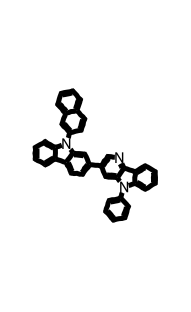 c1ccc(-n2c3ccccc3c3ncc(-c4ccc5c6ccccc6n(-c6ccc7ccccc7c6)c5c4)cc32)cc1